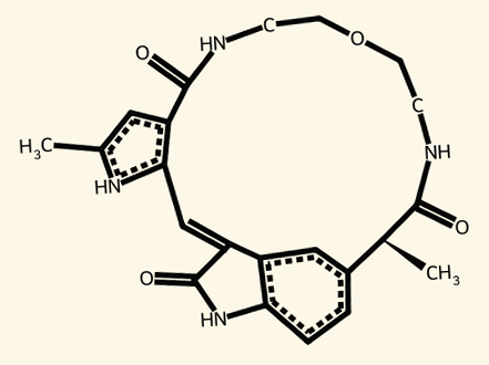 Cc1cc2c([nH]1)/C=C1\C(=O)Nc3ccc(cc31)[C@H](C)C(=O)NCCOCCNC2=O